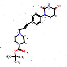 CC(C)(C)OC(=O)N1CCN(CC#Cc2ccc(N3CCC(=O)NC3=O)cc2)CC1